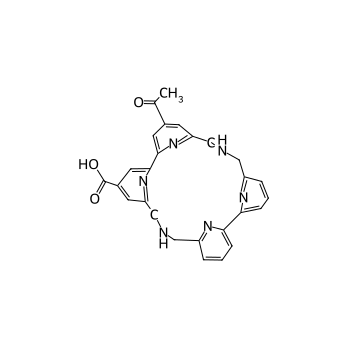 CC(=O)c1cc2nc(c1)-c1cc(C(=O)O)cc(n1)CNCc1cccc(n1)-c1cccc(n1)CNC2